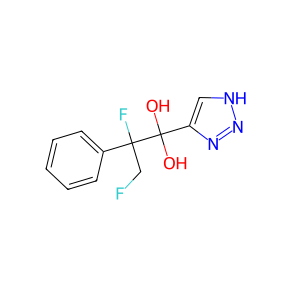 OC(O)(c1c[nH]nn1)C(F)(CF)c1ccccc1